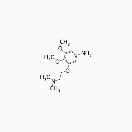 COc1cc(N)cc(OCCN(C)C)c1OC